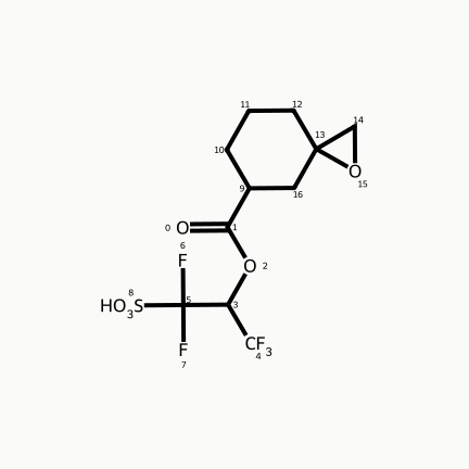 O=C(OC(C(F)(F)F)C(F)(F)S(=O)(=O)O)C1CCCC2(CO2)C1